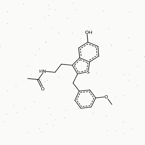 COc1cccc(Cc2sc3ccc(O)cc3c2CCNC(C)=O)c1